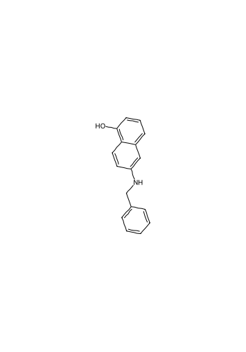 Oc1cccc2cc(NCc3ccccc3)ccc12